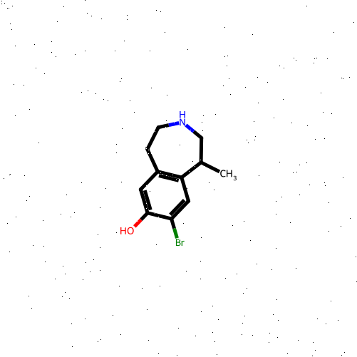 CC1CNCCc2cc(O)c(Br)cc21